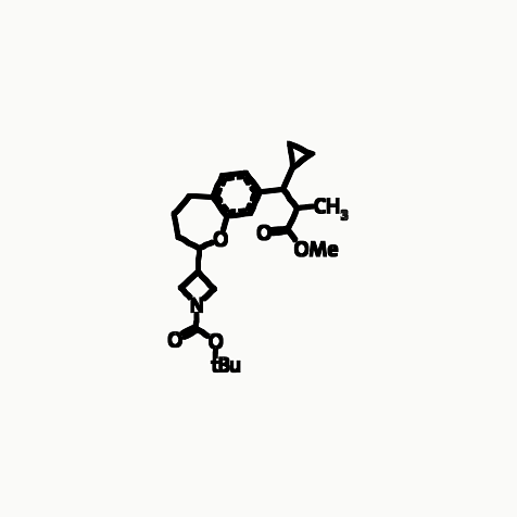 COC(=O)C(C)C(c1ccc2c(c1)OC(C1CN(C(=O)OC(C)(C)C)C1)CCC2)C1CC1